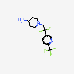 NC1CCN(CC(F)(F)c2ccc(C(F)(F)F)nc2)CC1